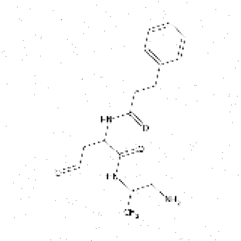 CC(CN)NC(=O)C(CC=O)NC(=O)CCc1ccccc1